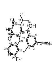 Cc1cc(C#N)cc(C(O)c2c(C(C)C)c(=O)[nH]c(=O)n2Cc2ccnc(F)c2)c1